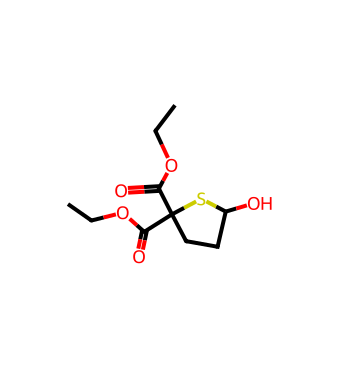 CCOC(=O)C1(C(=O)OCC)CCC(O)S1